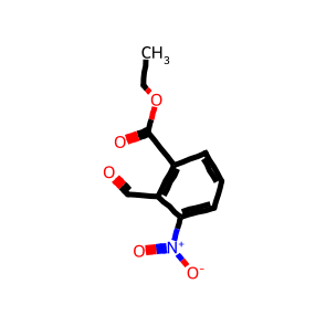 CCOC(=O)c1cccc([N+](=O)[O-])c1C=O